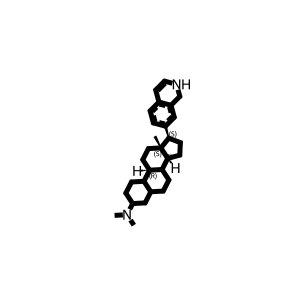 CN(C)C1CCC2C(CCC3[C@@H]2CC[C@]2(C)[C@@H](c4ccc5c(c4)CNC=C5)CC[C@@H]32)C1